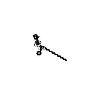 CCCCCCCCCCCCCCCCOCC(COP(=O)([O-])OCC1CC2CCC(C1)[N+]2(C)C)OCc1ccccc1